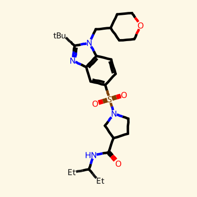 CCC(CC)NC(=O)C1CCN(S(=O)(=O)c2ccc3c(c2)nc(C(C)(C)C)n3CC2CCOCC2)C1